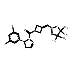 CC1(C)OB(C=C2CN(C(=O)N3N=CC[C@H]3c3cc(F)cc(F)c3)C2)OC1(C)C